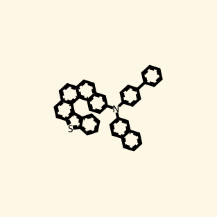 c1ccc(-c2ccc(N(c3ccc4ccccc4c3)c3ccc4c(ccc5ccc6ccc7sc8ccccc8c7c6c54)c3)cc2)cc1